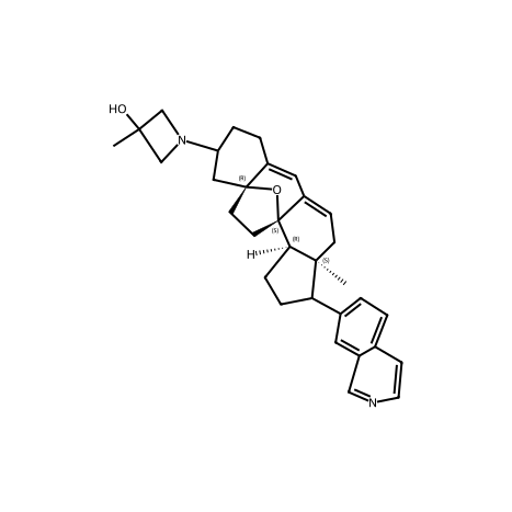 CC1(O)CN(C2CCC3=CC4=CC[C@@]5(C)C(c6ccc7ccncc7c6)CC[C@H]5[C@@]45CC[C@]3(C2)O5)C1